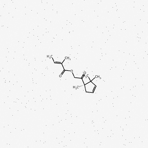 C/C=C(\C)C(=O)OCC(=O)[C@]1(C)CC=CC1(C)C